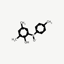 Cc1ccc([S+]([O-])c2cc(C)cc(C)c2O)cc1